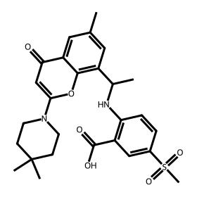 Cc1cc(C(C)Nc2ccc(S(C)(=O)=O)cc2C(=O)O)c2oc(N3CCC(C)(C)CC3)cc(=O)c2c1